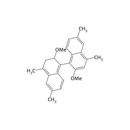 COc1cc(C)c2cc(C)ccc2c1C1=c2ccc(C)cc2=C(C)CC1OC